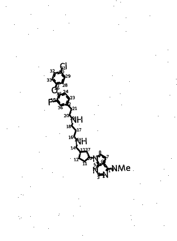 CNc1ncnc2c1ccn2C1CCC(CNCCCNCCc2ccc(Oc3ccc(Cl)cc3)c(F)c2)C1